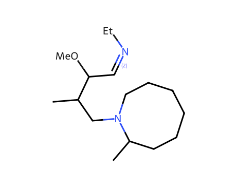 CC/N=C\C(OC)C(C)CN1CCCCCCC1C